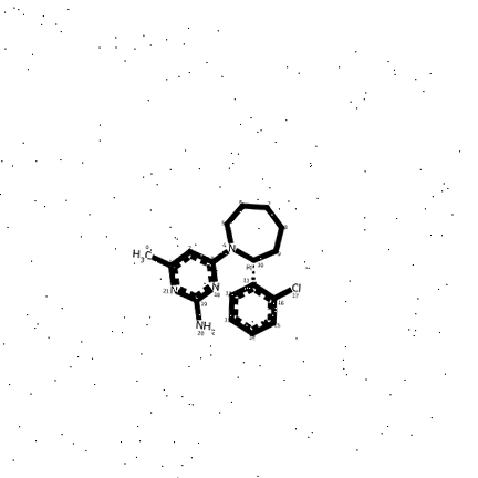 Cc1cc(N2CCCCC[C@@H]2c2ccccc2Cl)nc(N)n1